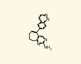 Nc1ncc2c(n1)CCCC=C2c1ccc2nnccc2c1